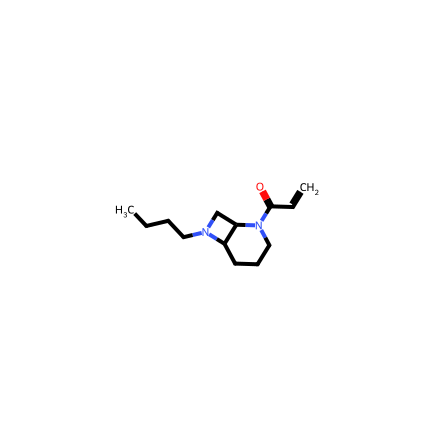 C=CC(=O)N1CCCC2C1CN2CCCC